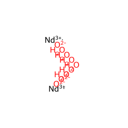 O.O.O.O.O.O.[Nd+3].[Nd+3].[O-2].[O-2].[O-2]